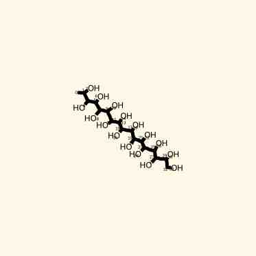 CC(O)C(O)C(O)C(O)C(O)C(O)C(O)C(O)C(O)C(O)C(O)C(O)C(O)C(O)C(O)CO